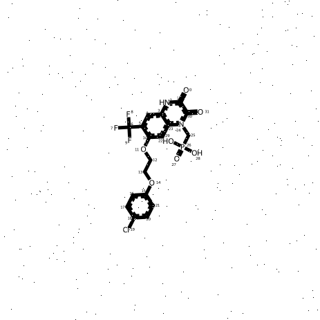 O=c1[nH]c2cc(C(F)(F)F)c(OCCOc3ccc(Cl)cc3)cc2n(CP(=O)(O)O)c1=O